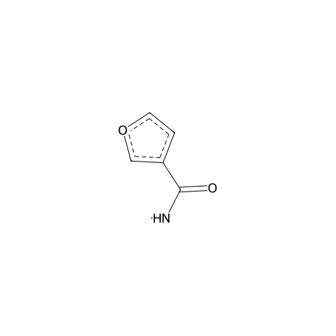 [NH]C(=O)c1ccoc1